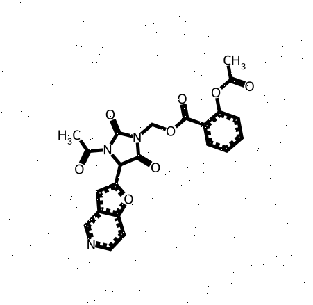 CC(=O)Oc1ccccc1C(=O)OCN1C(=O)C(c2cc3cnccc3o2)N(C(C)=O)C1=O